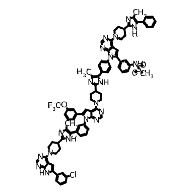 Cc1nc(C2CCN(c3ncnc4[nH]c(-c5cccc(Cl)c5)cc34)CC2)[nH]c1-c1cccc(-n2c(-c3cccc(OC(F)(F)F)c3)cc3c(N4CCC(c5nc(C)c(-c6ccc(-n7c(-c8cccc(NS(C)(=O)=O)c8)cc8c(N9CCC(c%10nc(C)c(-c%11ccccc%11)[nH]%10)CC9)ncnc87)cc6)[nH]5)CC4)ncnc32)c1